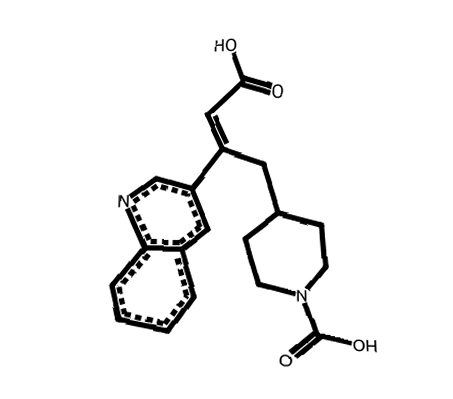 O=C(O)C=C(CC1CCN(C(=O)O)CC1)c1cnc2ccccc2c1